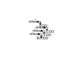 CCCCCCOC(=O)[O-].CCCCCCOC(=O)[O-].CCCCCCOC(=O)[O-].CCCCCCOC(=O)[O-].[Pu+4]